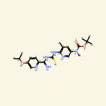 Cc1cc(N(C)C(=O)OC(C)(C)C)cnc1NC(=S)NC(=N)c1ccc(OC(C)C)cn1